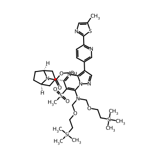 Cc1cnc(-c2ccc(-c3cnn4c(N(COCC[Si](C)(C)C)COCC[Si](C)(C)C)c(S(C)(=O)=O)c([C@@H]5C[C@H]6CC[C@@H](C5)N6C(=O)OC(C)(C)C)nc34)cn2)s1